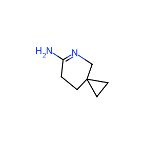 NC1=NCC2(CC1)CC2